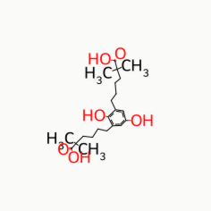 CC(C)(CCCCc1cc(O)cc(CCCCC(C)(C)C(=O)O)c1O)C(=O)O